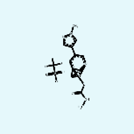 CNC(=O)Nc1c2nn3cc(-c4cnn(C)c4)cc2c13.O=S(=O)(O)C(F)(F)F